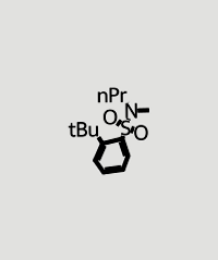 CCCN(C)S(=O)(=O)c1ccccc1C(C)(C)C